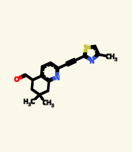 Cc1csc(C#Cc2ccc3c(n2)CC(C)(C)CC3C=O)n1